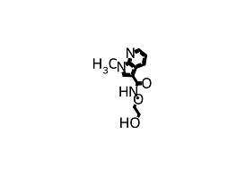 Cn1cc(C(=O)NOCCO)c2cccnc21